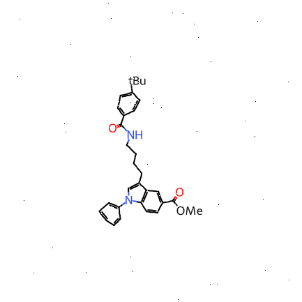 COC(=O)c1ccc2c(c1)c(CCCCNC(=O)c1ccc(C(C)(C)C)cc1)cn2-c1ccccc1